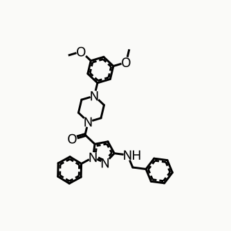 COc1cc(OC)cc(N2CCN(C(=O)c3cc(NCc4ccccc4)nn3-c3ccccc3)CC2)c1